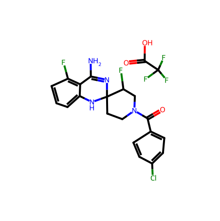 NC1=NC2(CCN(C(=O)c3ccc(Cl)cc3)CC2F)Nc2cccc(F)c21.O=C(O)C(F)(F)F